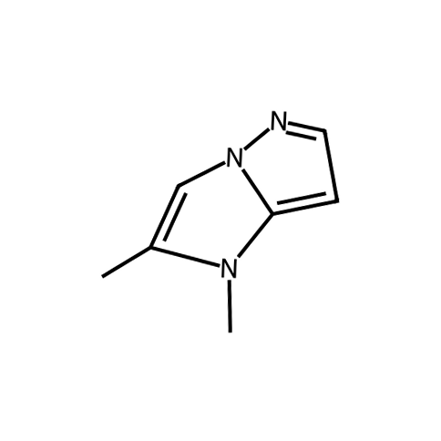 Cc1cn2nccc2n1C